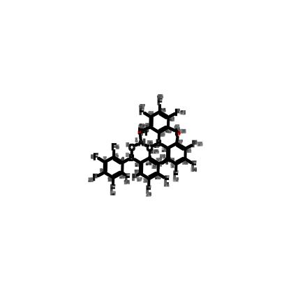 C[CH](C)[Al]([O]B(c1c(F)c(F)c(F)c(F)c1F)c1c(F)c(F)c(F)c(F)c1F)[O]B(c1c(F)c(F)c(F)c(F)c1F)c1c(F)c(F)c(F)c(F)c1F